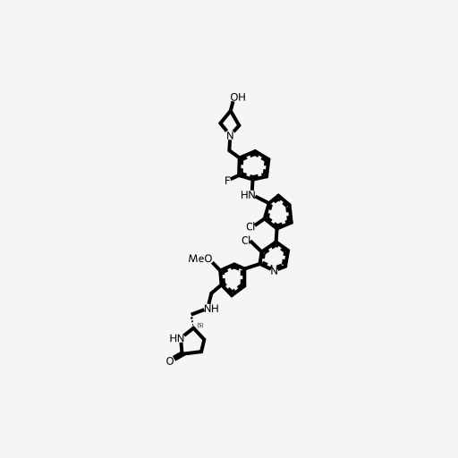 COc1cc(-c2nccc(-c3cccc(Nc4cccc(CN5CC(O)C5)c4F)c3Cl)c2Cl)ccc1CNC[C@@H]1CCC(=O)N1